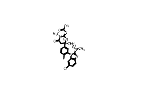 CN1C(=O)C[C@@](C)(c2ccc(F)c(-n3c(N(C)C)nc4ccc(Cl)cc43)c2)N/C1=N/C(=O)O